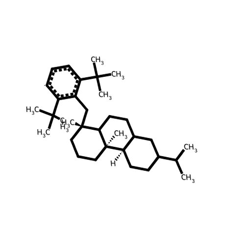 CC(C)C1CC[C@@H]2C(CCC3[C@@](C)(Cc4c(C(C)(C)C)[c]ccc4C(C)(C)C)CCC[C@@]32C)C1